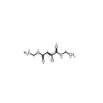 CCOC(=O)/C=C(\Cl)C(=O)OCC